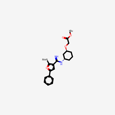 CNc1oc(-c2ccccc2)cc1C(=N)N[C@H]1CCC[C@H](OCC(=O)OC(C)(C)C)C1